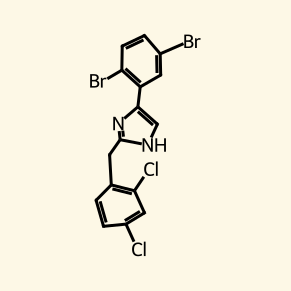 Clc1ccc(Cc2nc(-c3cc(Br)ccc3Br)c[nH]2)c(Cl)c1